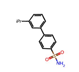 CC(C)c1cccc(-c2ccc(S(N)(=O)=O)cc2)c1